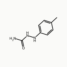 Cc1ccc(NNC(N)=O)cc1